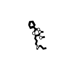 CCCN(C)CCCC(OC(=O)c1ccccc1)C(OC)OC